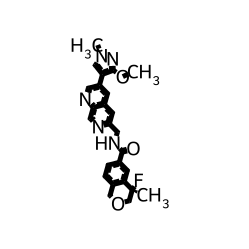 COc1nn(C)cc1-c1cnc2cnc(CNC(=O)c3ccc4c(c3)[C@](C)(F)COC4)cc2c1